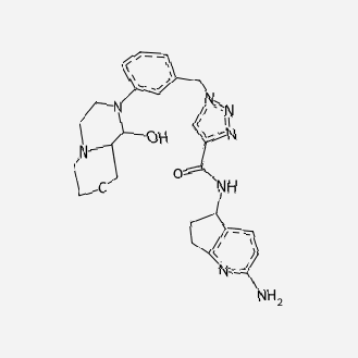 Nc1ccc2c(n1)CCC2NC(=O)c1cn(Cc2cccc(N3CCN4CCCCC4C3O)c2)nn1